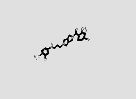 Cc1ccc(NCCCN2CC3CN(C(=O)c4ccc(Br)cc4C)CC3C2)cc1Cl